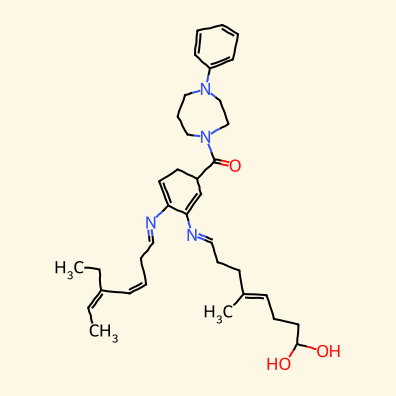 C/C=C(\C=C/C/C=N/C1=CCC(C(=O)N2CCCN(c3ccccc3)CC2)C=C1/N=C/CC/C(C)=C/CCC(O)O)CC